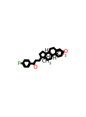 C[C@]12CCC(=O)C=C1CC[C@@H]1[C@H]2CC[C@]2(C)C(CCC(=O)c3ccc(F)cc3)CC[C@@H]12